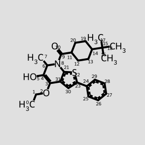 CCOC1=C(O)C(C)N(C(=O)C2CCC(C(C)(C)C)CC2)c2sc(-c3ccccc3)cc21